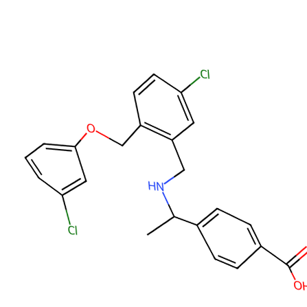 CC(NCc1cc(Cl)ccc1COc1cccc(Cl)c1)c1ccc(C(=O)O)cc1